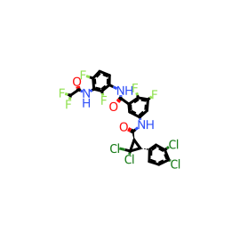 O=C(Nc1ccc(F)c(NC(=O)C(F)F)c1F)c1cc(NC(=O)[C@H]2[C@H](c3ccc(Cl)c(Cl)c3)C2(Cl)Cl)cc(F)c1F